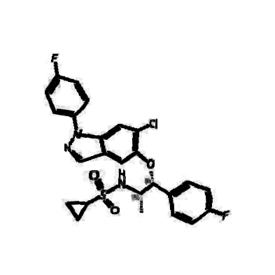 C[C@H](NS(=O)(=O)C1CC1)[C@H](Oc1cc2cnn(-c3ccc(F)cc3)c2cc1Cl)c1ccc(F)cc1